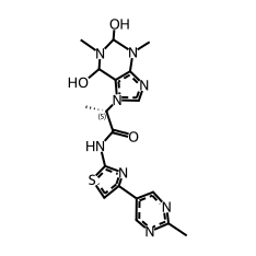 Cc1ncc(-c2csc(NC(=O)[C@H](C)n3cnc4c3C(O)N(C)C(O)N4C)n2)cn1